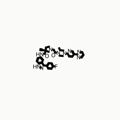 C#CC1(C(=O)Nc2ccc3[nH]nc(-c4ccc(F)cc4)c3c2)CCN(CC(=O)N2CCN(c3ccc(-c4ncccn4)cn3)CC2C)C1